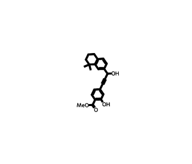 COC(=O)c1ccc(C#CC(O)c2ccc3c(c2)C(C)(C)CCC3)cc1O